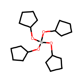 C1CCC([O][Ti]([O]C2CCCC2)([O]C2CCCC2)[O]C2CCCC2)C1